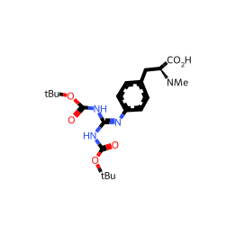 CN[C@@H](Cc1ccc(N=C(NC(=O)OC(C)(C)C)NC(=O)OC(C)(C)C)cc1)C(=O)O